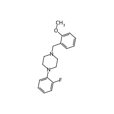 COc1ccccc1CN1CCN(c2ccccc2F)CC1